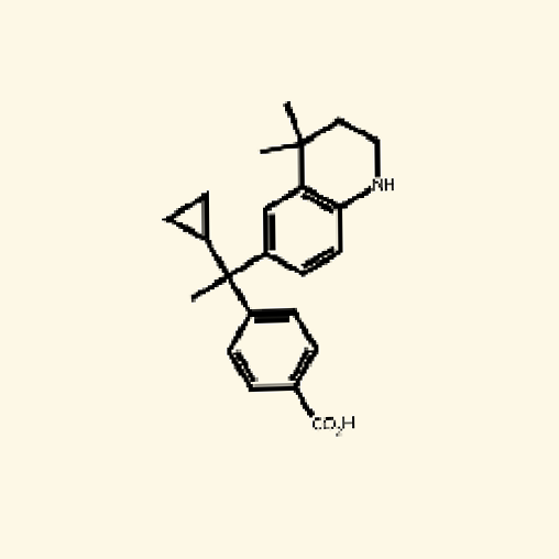 CC1(C)CCNc2ccc(C(C)(c3ccc(C(=O)O)cc3)C3CC3)cc21